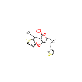 O=c1oc(CC2(Cc3ccsc3)CC2)cc(O)c1C(c1cccs1)C1CC1